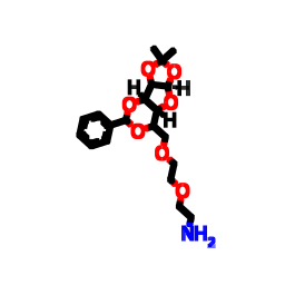 CC1(C)OC2[C@H](O[C@@H]3C(COCCOCCN)OC(c4ccccc4)O[C@H]23)O1